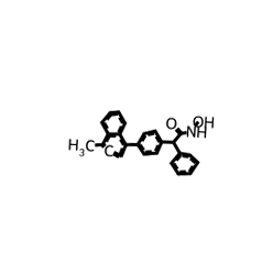 Cc1ccc(-c2ccc(C(C(=O)NO)c3ccccc3)cc2)c2ccccc12